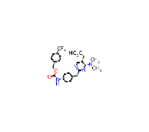 CN(C)c1nc(Cc2ccc(NC(=O)OCc3ccc(C(F)(F)F)cc3)cc2)ncc1CC(=O)O